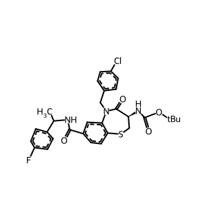 CC(NC(=O)c1ccc2c(c1)N(Cc1ccc(Cl)cc1)C(=O)[C@@H](NC(=O)OC(C)(C)C)CS2)c1ccc(F)cc1